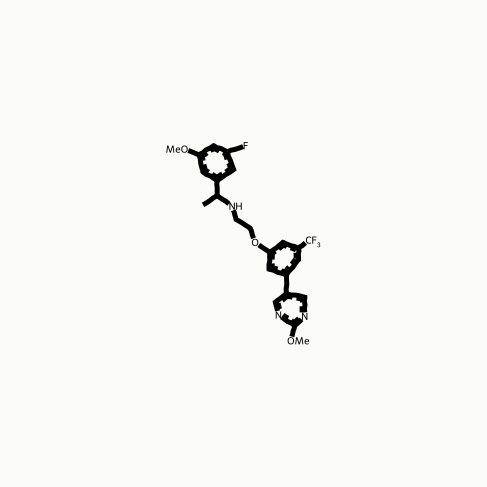 COc1cc(F)cc(C(C)NCCOc2cc(-c3cnc(OC)nc3)cc(C(F)(F)F)c2)c1